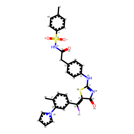 Cc1ccc(S(=O)(=O)NC(=O)Cc2ccc(NC3=NC(=O)C(=C(I)c4ccc(C)c(-n5cccc5)c4)S3)cc2)cc1